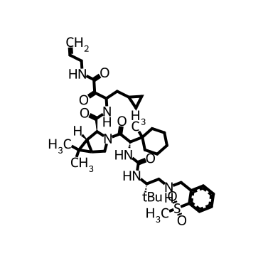 C=CCNC(=O)C(=O)C(CC1CC1)NC(=O)[C@@H]1[C@@H]2C(CN1C(=O)[C@@H](NC(=O)N[C@H](CNCc1ccccc1S(C)(=O)=O)C(C)(C)C)C1(C)CCCCC1)C2(C)C